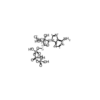 Nc1ncnc2c1ncn2[C@@H]1O[C@H](COP(=O)(O)OP(=O)(O)OP(=O)(O)O)[C@@H](O)[C@H]1O.[Cl-].[Na+]